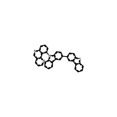 c1cnc2c(c1)cnc1cccc(-n3c4ccccc4c4cc(-c5ccc6sc7ccccc7c6c5)ccc43)c12